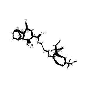 CCC(C)(C)c1ccc(OCCCNC(=O)C2=CC(=O)C3=C(C2=O)C2CCC3C2)c(C(C)(C)CC)c1